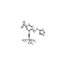 C[Si](C)(C)C#Cc1cc([N+](=O)[O-])ccc1OCc1cscn1